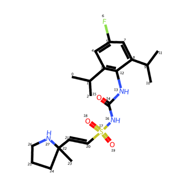 CC(C)c1cc(F)cc(C(C)C)c1NC(=O)NS(=O)(=O)C=CC1(C)CCCN1